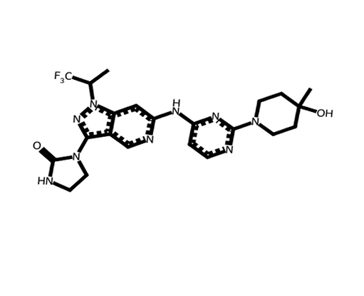 CC(n1nc(N2CCNC2=O)c2cnc(Nc3ccnc(N4CCC(C)(O)CC4)n3)cc21)C(F)(F)F